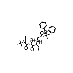 [2H]C([2H])(CCO[Si](c1ccccc1)(c1ccccc1)C(C)(C)C)C(CC)C(=O)OC(=O)NC(C)(C)C